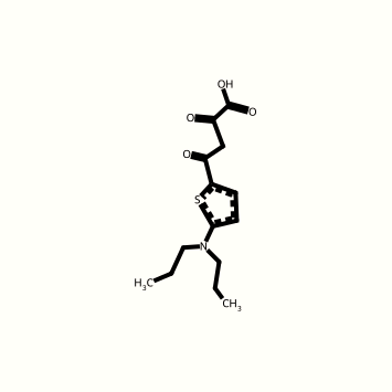 CCCN(CCC)c1ccc(C(=O)CC(=O)C(=O)O)s1